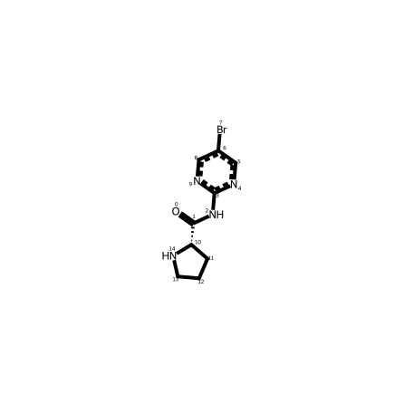 O=C(Nc1ncc(Br)cn1)[C@@H]1CCCN1